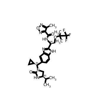 Cc1nonc1C(=O)N[C@@H](COC(C)(C)C(F)(F)F)c1nc2cc([C@@H](C3CC3)N3C[C@@H](C(C)C)NC3=O)ccc2[nH]1